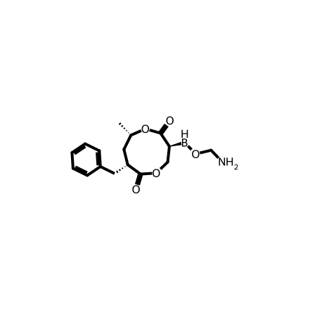 C[C@H]1C[C@@H](Cc2ccccc2)C(=O)OC[C@H](BOCN)C(=O)O1